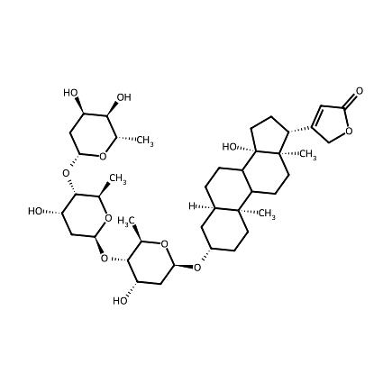 C[C@@H]1O[C@H](O[C@H]2[C@@H](O)C[C@H](O[C@H]3[C@@H](O)C[C@H](O[C@H]4CC[C@]5(C)C6CC[C@]7(C)[C@@H](C8=CC(=O)OC8)CC[C@]7(O)C6CC[C@@H]5C4)O[C@@H]3C)O[C@@H]2C)C[C@@H](O)[C@H]1O